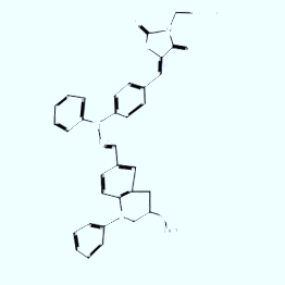 CCCOC1Cc2cc(/C=N/N(c3ccccc3)c3ccc(/C=C4\SC(=S)N(CC(=O)O)C4=O)cc3)ccc2N(c2ccccc2)C1